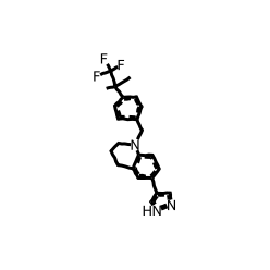 CC(C)(c1ccc(CN2CCCc3cc(-c4cn[nH]c4)ccc32)cc1)C(F)(F)F